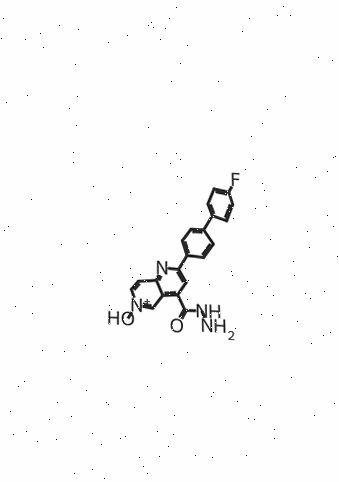 NNC(=O)c1cc(-c2ccc(-c3ccc(F)cc3)cc2)nc2cc[n+](O)cc12